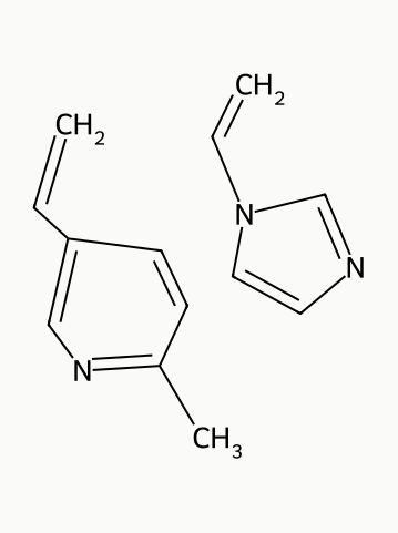 C=Cc1ccc(C)nc1.C=Cn1ccnc1